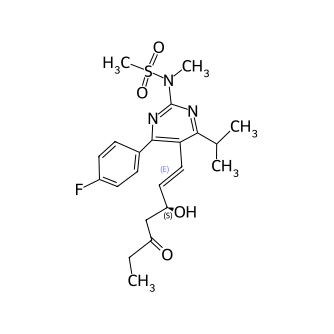 CCC(=O)C[C@H](O)/C=C/c1c(-c2ccc(F)cc2)nc(N(C)S(C)(=O)=O)nc1C(C)C